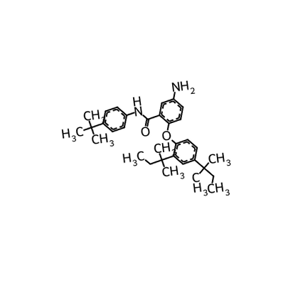 CCC(C)(C)c1ccc(Oc2ccc(N)cc2C(=O)Nc2ccc(C(C)(C)C)cc2)c(C(C)(C)CC)c1